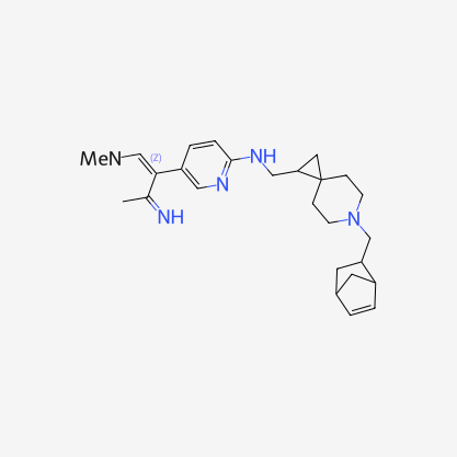 CN/C=C(\C(C)=N)c1ccc(NCC2CC23CCN(CC2CC4C=CC2C4)CC3)nc1